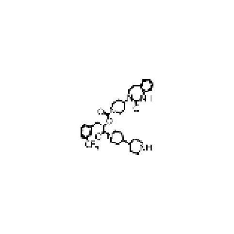 O=C(O[C@H](Cc1cccc(C(F)(F)F)c1)C(=O)N1CCC(C2CCNCC2)CC1)N1CCC(N2CCc3ccccc3NC2=O)CC1